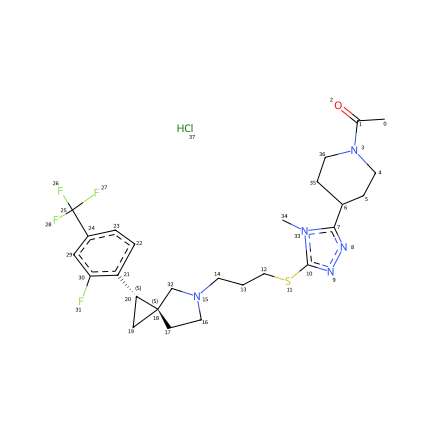 CC(=O)N1CCC(c2nnc(SCCCN3CC[C@]4(C[C@@H]4c4ccc(C(F)(F)F)cc4F)C3)n2C)CC1.Cl